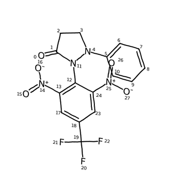 O=C1CCN(c2ccccc2)N1c1c([N+](=O)[O-])cc(C(F)(F)F)cc1[N+](=O)[O-]